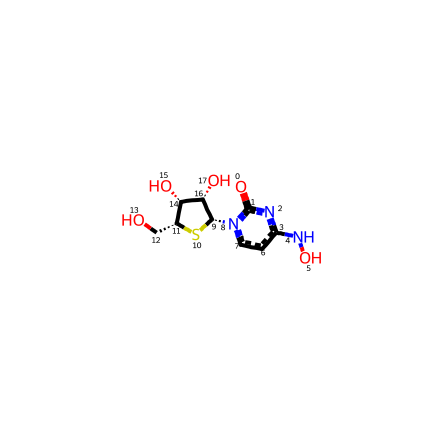 O=c1nc(NO)ccn1[C@@H]1S[C@H](CO)[C@H](O)[C@@H]1O